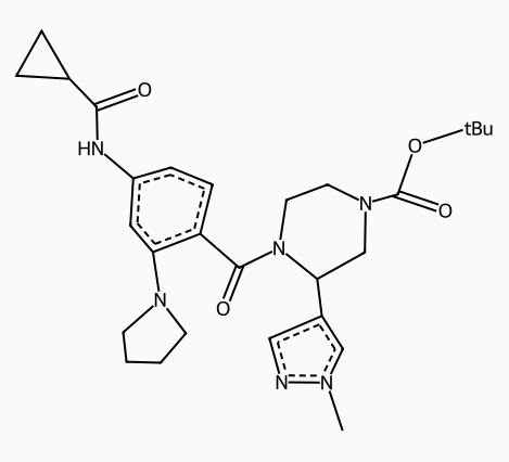 Cn1cc(C2CN(C(=O)OC(C)(C)C)CCN2C(=O)c2ccc(NC(=O)C3CC3)cc2N2CCCC2)cn1